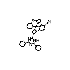 N#Cc1ccc2c(c1)C1(c3ccccc3SC3C=CC=CC31)c1ccc(C3=NC(c4ccccc4)=NC(c4ccccc4)N3)cc1-2